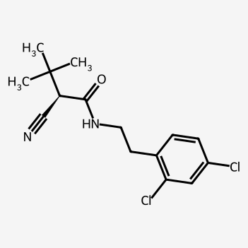 CC(C)(C)[C@H](C#N)C(=O)NCCc1ccc(Cl)cc1Cl